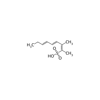 CCC=CC=CC(C)=C(C)S(=O)(=O)O